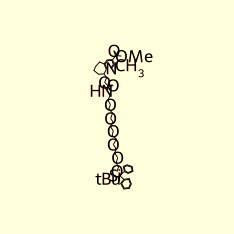 COC(=O)c1cc2c(nc1C)C(COC(=O)NCCOCCOCCOCCOCCOCCO[Si](c1ccccc1)(c1ccccc1)C(C)(C)C)CCCC2